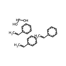 C=Cc1ccccc1.C=Cc1ccccc1.C=Cc1ccccc1.OPO